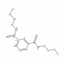 CCCCOC(=O)c1ccnc(C(=O)OCCCC)c1